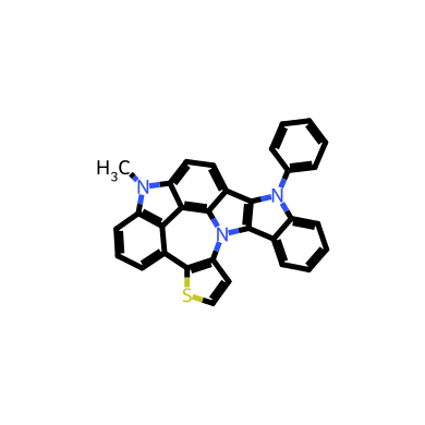 Cn1c2cccc3c4sccc4n4c5c(ccc1c5c32)c1c4c2ccccc2n1-c1ccccc1